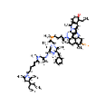 C=C(CN(C)C(=C)CCCCCN1C(=C)CC(C(CC)CC)C1=C)NCC(=C)N(C)C(Cc1ccccc1)C(=C)NCC(=C)P(C)CCCC(=C)NC1CCc2c(C)c(P)cc3nc4c(c1c23)CN1C(=C)C2=C(C=C41)C(CC)C(=O)CC2